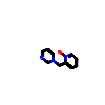 [O-][n+]1ccccc1CN1C=CC=NC1